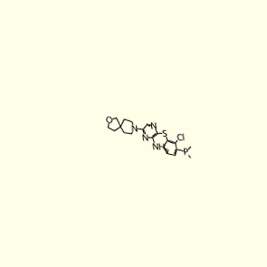 CP(C)c1cccc(Sc2ncc(N3CCC4(CCOC4)CC3)nc2N)c1Cl